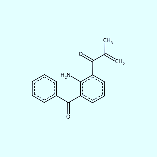 C=C(C)C(=O)c1cccc(C(=O)c2ccccc2)c1N